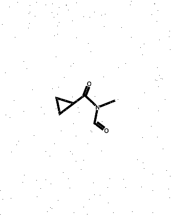 CN(C=O)C(=O)C1CC1